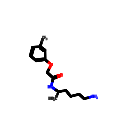 NCCCC[C@H](NC(=O)COc1cccc(C(F)(F)F)c1)C(=O)O